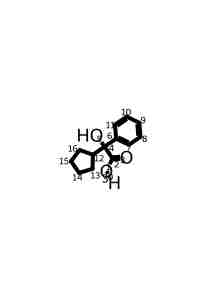 [3H]OC(=O)C(O)(c1ccccc1)C1CCCC1